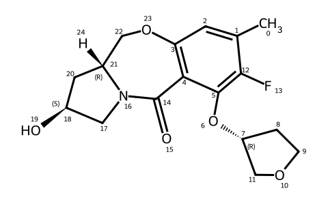 Cc1cc2c(c(O[C@@H]3CCOC3)c1F)C(=O)N1C[C@@H](O)C[C@@H]1CO2